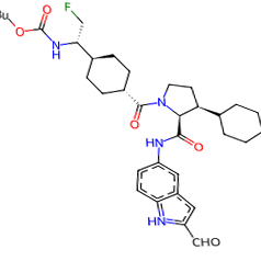 CC(C)(C)OC(=O)N[C@H](CF)[C@H]1CC[C@H](C(=O)N2CC[C@@H](C3CCCCC3)[C@H]2C(=O)Nc2ccc3[nH]c(C=O)cc3c2)CC1